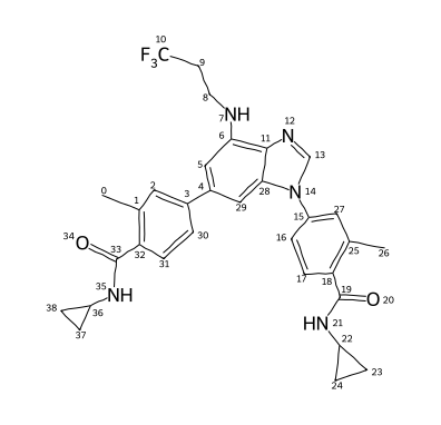 Cc1cc(-c2cc(NCCC(F)(F)F)c3ncn(-c4ccc(C(=O)NC5CC5)c(C)c4)c3c2)ccc1C(=O)NC1CC1